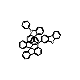 c1ccc(-n2c3ccccc3c3c(N(c4ccc5c(c4)oc4ccccc45)c4cccc5c4C4(c6ccccc6-c6ccccc64)c4ccccc4-5)cccc32)cc1